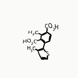 Cc1ccsc1-c1ccc(C(=O)O)c(C)c1C(=O)O